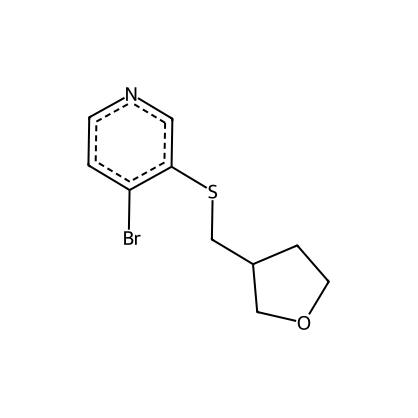 Brc1ccncc1SCC1CCOC1